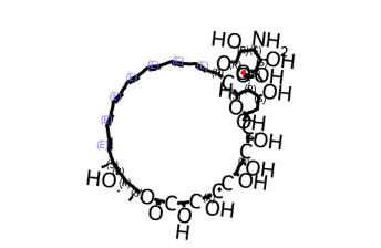 C[C@@H]1[C@H](O)[C@@H](C)/C=C/C=C/C=C/C=C/C=C/C=C/C=C/[C@H](O[C@@H]2O[C@H](C)[C@@H](O)[C@H](N)[C@H]2O)C[C@@H]2OC(O)(C[C@@H](O)C[C@@H](O)C(O)CC[C@@H](O)CC(O)CC(=O)O[C@H]1C)C[C@H](O)[C@H]2C(=O)O